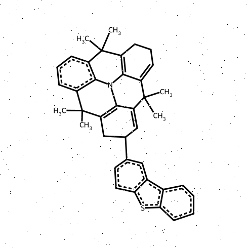 CC1(C)C2=CCCC3=C2N2C4=C(CC(c5ccc6sc7ccccc7c6c5)C=C41)C(C)(C)c1cccc(c12)C3(C)C